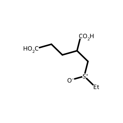 CC[S+]([O-])CC(CCC(=O)O)C(=O)O